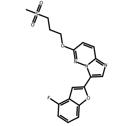 CS(=O)(=O)CCCOc1ccc2ncc(-c3cc4c(F)cccc4o3)n2n1